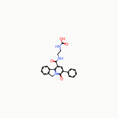 O=C(O)NCCNC(=O)c1cc(-c2ccccc2)c(=O)n2c1-c1ccccc1C2